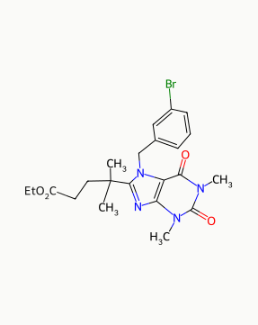 CCOC(=O)CCC(C)(C)c1nc2c(c(=O)n(C)c(=O)n2C)n1Cc1cccc(Br)c1